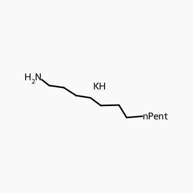 CCCCCCCCCCCCN.[KH]